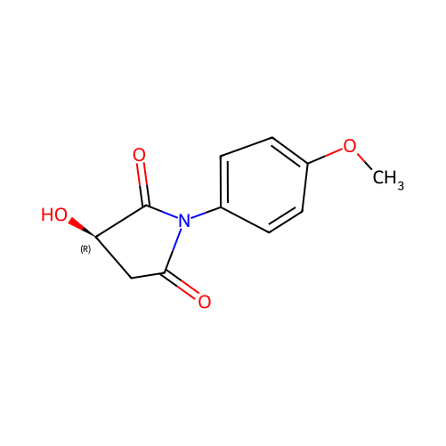 COc1ccc(N2C(=O)C[C@@H](O)C2=O)cc1